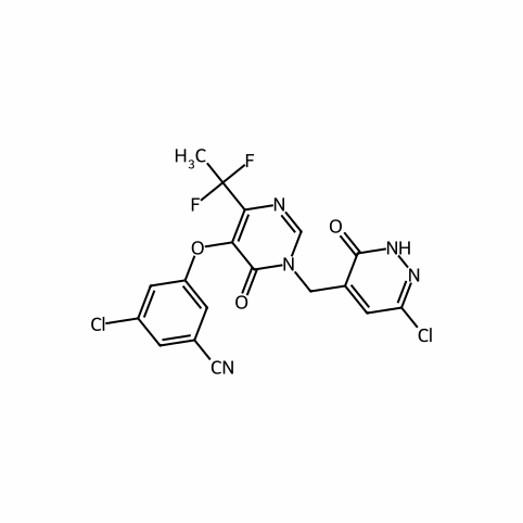 CC(F)(F)c1ncn(Cc2cc(Cl)n[nH]c2=O)c(=O)c1Oc1cc(Cl)cc(C#N)c1